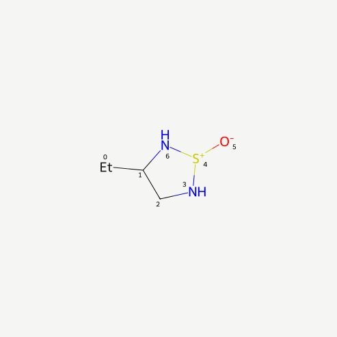 CCC1CN[S+]([O-])N1